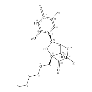 CCCCOC[C@]12O[C@@H](n3cc(C)c(=O)[nH]c3=O)C(ON(C)C1=O)C2O